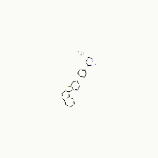 N#Cc1cncc(-c2ccc(-c3ccc4c(c3)sc3ccc5ccccc5c34)cc2)c1